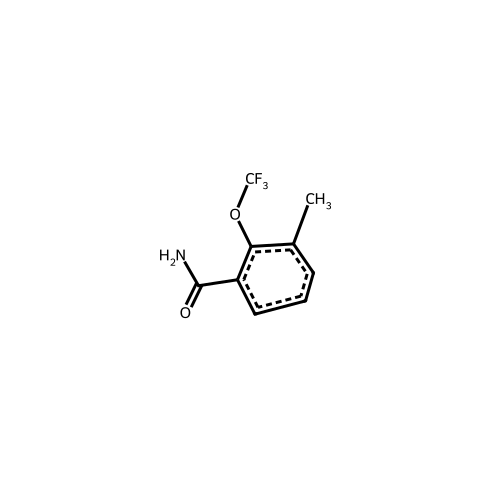 Cc1cccc(C(N)=O)c1OC(F)(F)F